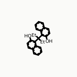 CCC(CC)(c1c(O)ccc2ccccc12)c1c(O)ccc2ccccc12